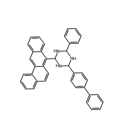 c1ccc(-c2ccc(C3NC(c4ccccc4)NC(c4c5ccccc5cc5c4ccc4ccccc45)N3)cc2)cc1